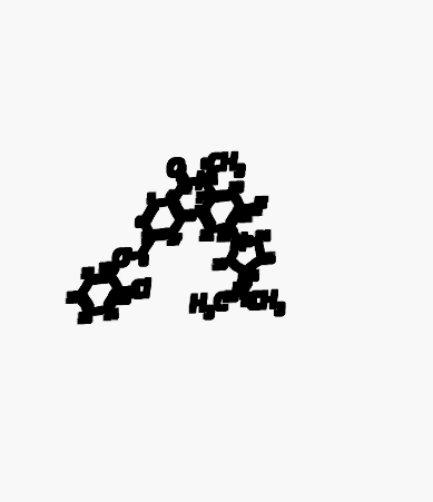 CN(C(=O)c1ccc(COc2ccccc2Cl)cc1)c1ccc(N2CCC(N(C)C)C2)c(F)c1